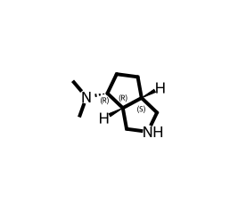 CN(C)[C@@H]1CC[C@@H]2CNC[C@@H]21